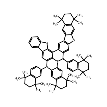 CC1(C)CCC(C)(C)c2cc(N3B4c5cc6c(cc5N(c5ccc7c(c5)C(C)(C)CCC7(C)C)c5cc7c(oc8ccccc87)c(c54)-c4cc5c(cc43)oc3cc4c(cc35)C(C)(C)CCC4(C)C)C(C)(C)CCC6(C)C)ccc21